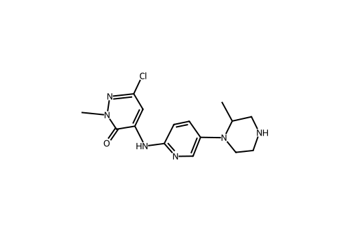 CC1CNCCN1c1ccc(Nc2cc(Cl)nn(C)c2=O)nc1